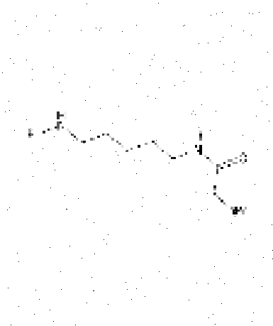 CC(C)CC(=O)N(C)CCCCCNC(C)C